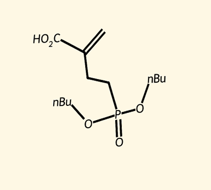 C=C(CCP(=O)(OCCCC)OCCCC)C(=O)O